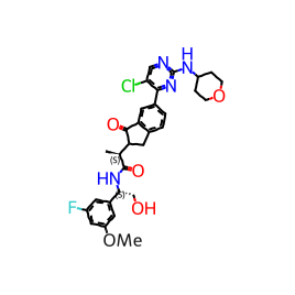 COc1cc(F)cc([C@@H](CO)NC(=O)[C@@H](C)C2Cc3ccc(-c4nc(NC5CCOCC5)ncc4Cl)cc3C2=O)c1